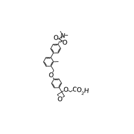 Cc1c(COc2ccc(C3(OCC(=O)O)COC3)cc2)cccc1-c1ccc(S(=O)(=O)N(C)C)cc1